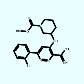 CC(C)(C)OC(=O)N1CCCC(Nc2cc(-c3ccccc3O)nnc2C(=N)N)C1